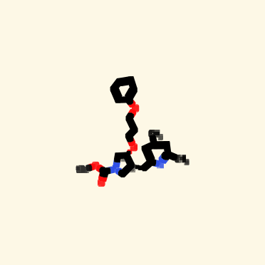 Cc1cc(C)nc(C[C@@H]2CN(C(=O)OC(C)(C)C)C[C@@H]2OCCCOc2ccccc2)c1